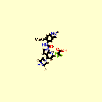 COc1cc2nn(C)cc2cc1NC(=O)N1CCc2c(N3C[C@@H](C)N[C@@H](C)C3)ccnc21.O=C(O)C(F)(F)F